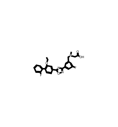 CCOc1cc(-c2nc(-c3cc(F)cc(CN(C)CC(=O)O)c3)no2)ccc1-c1ccccc1F